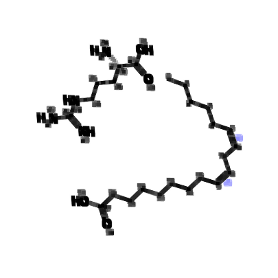 CCCCC/C=C\C/C=C\CCCCCCCC(=O)O.N=C(N)NCCC[C@H](N)C(=O)O